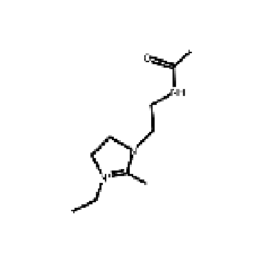 CC[N+]1=C(C)N(CCNC(C)=O)CC1